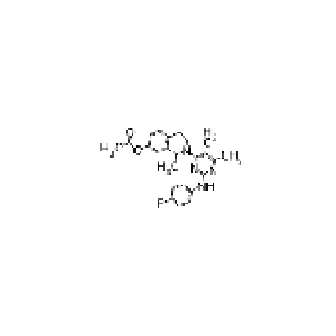 CC(=O)Oc1ccc2c(c1)C(C)N(c1nc(Nc3ccc(F)cc3)nc(C)c1C)CC2